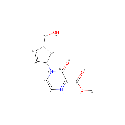 COC(=O)c1nccn(C2C=CC(CO)C2)c1=O